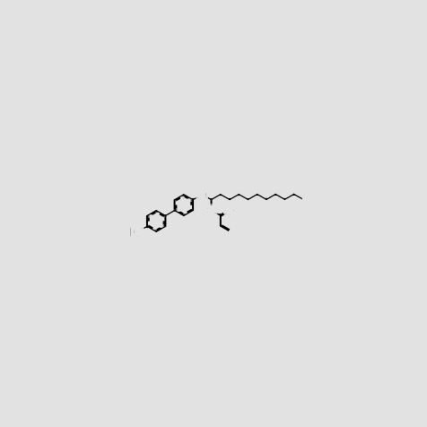 C=CC(=O)OC(CCCCCCCCCC)Oc1ccc(-c2ccc(O)cc2)cc1